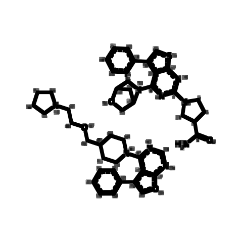 NC(=O)C1CCN(c2nc(N3CC4CC3CO4)c3c(-c4ccccc4)csc3n2)C1.c1ccc(-c2coc3ncnc(N4CCC(COCCN5CCCC5)CC4)c23)cc1